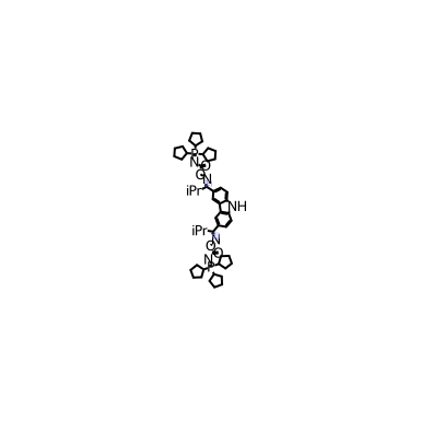 CC(C)/C(=N\OC(=O)N=P(C1CCCC1)(C1CCCC1)C1CCCC1)c1ccc2[nH]c3ccc(/C(=N/OC(=O)N=P(C4CCCC4)(C4CCCC4)C4CCCC4)C(C)C)cc3c2c1